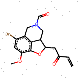 C=CC(=O)CC1Oc2c(OC)cc(Br)c3c2C1CN(C=O)C3